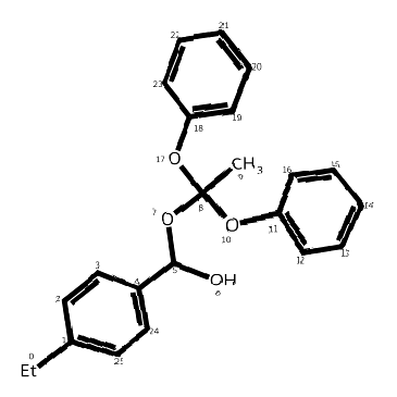 CCc1ccc(C(O)OC(C)(Oc2ccccc2)Oc2ccccc2)cc1